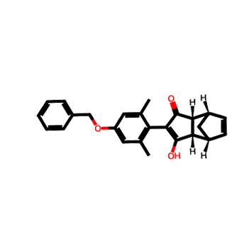 Cc1cc(OCc2ccccc2)cc(C)c1C1=C(O)[C@@H]2[C@H](C1=O)[C@@H]1C=C[C@H]2C1